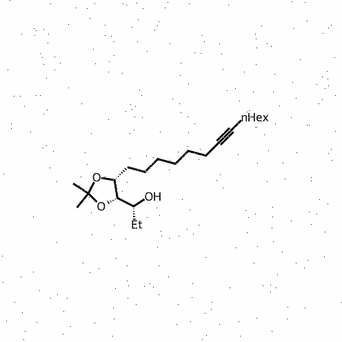 CCCCCCC#CCCCCCC[C@H]1OC(C)(C)O[C@H]1[C@H](O)CC